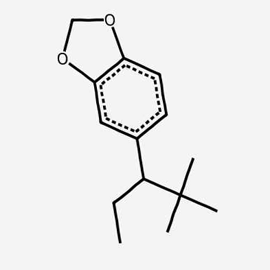 CCC(c1ccc2c(c1)OCO2)C(C)(C)C